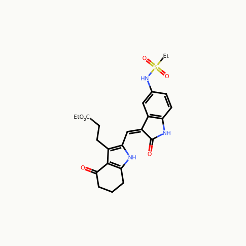 CCOC(=O)CCc1c(C=C2C(=O)Nc3ccc(NS(=O)(=O)CC)cc32)[nH]c2c1C(=O)CCC2